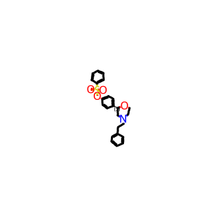 O=S(=O)(Oc1ccc([C@H]2CN(CCc3ccccc3)CCO2)cc1)c1ccccc1